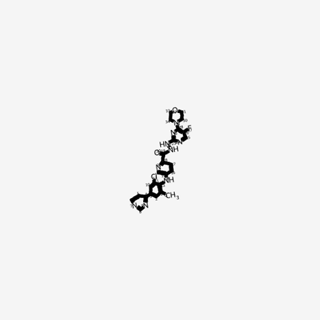 Cc1cc(-c2ccncn2)cc(Cl)c1Nc1ccc(C(=O)NNc2ncc(F)c(N3CCOCC3)n2)nc1